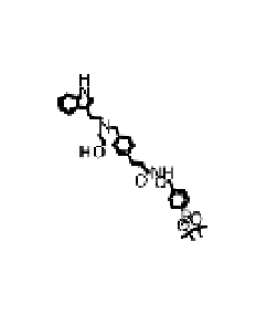 CC1(C)OB(c2ccc(CONC(=O)/C=C/c3ccc(CN(CCO)CCc4c[nH]c5ccccc45)cc3)cc2)OC1(C)C